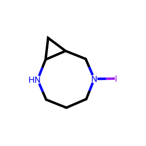 IN1CCCNC2CC2C1